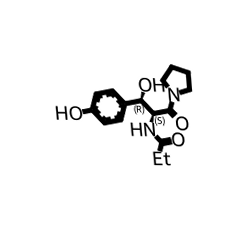 CCC(=O)N[C@H](C(=O)N1CCCC1)[C@H](O)c1ccc(O)cc1